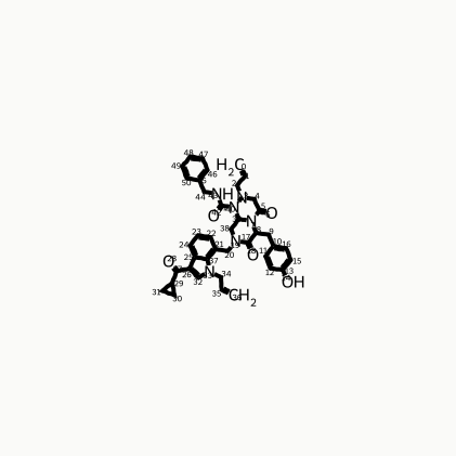 C=CCN1CC(=O)N2C(Cc3ccc(O)cc3)C(=O)N(Cc3cccc4c(C(=O)C5CC5)cn(CC=C)c34)CC2N1C(=O)NCc1ccccc1